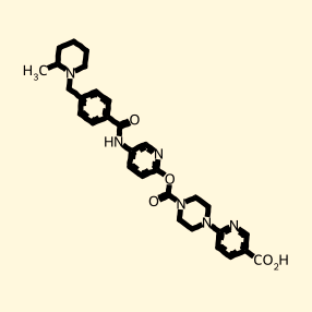 CC1CCCCN1Cc1ccc(C(=O)Nc2ccc(OC(=O)N3CCN(c4ccc(C(=O)O)cn4)CC3)nc2)cc1